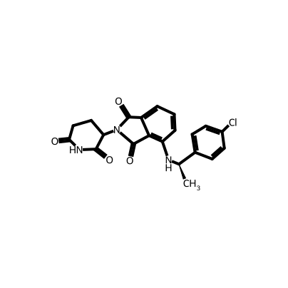 C[C@@H](Nc1cccc2c1C(=O)N(C1CCC(=O)NC1=O)C2=O)c1ccc(Cl)cc1